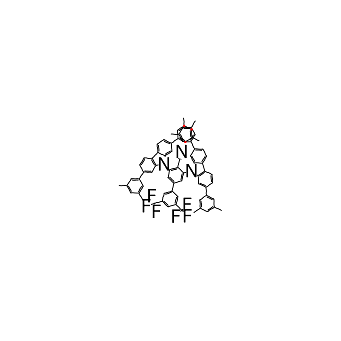 Cc1cc(C)cc(-c2ccc3c4ccc(-c5cc(C)cc(C)c5)cc4n(-c4cc(-c5cc(C(F)(F)F)cc(C(F)(F)F)c5)cc(-n5c6cc(-c7cc(C)cc(C)c7)ccc6c6ccc(-c7cc(C)cc(C)c7)cc65)c4C#N)c3c2)c1